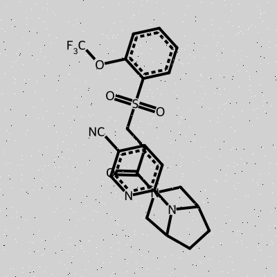 N#Cc1ccc(N2C3CCC2CN(C(=O)CCS(=O)(=O)c2ccccc2OC(F)(F)F)C3)nc1